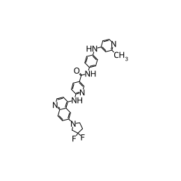 Cc1cc(Nc2ccc(NC(=O)c3ccc(Nc4ccnc5ccc(N6CCC(F)(F)C6)cc45)nc3)cc2)ccn1